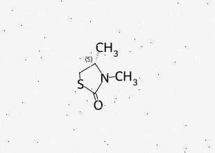 C[C@H]1CSC(=O)N1C